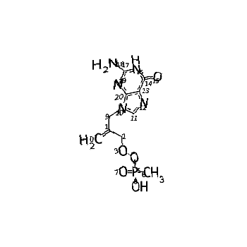 C=C(COOP(C)(=O)O)Cn1cnc2c(=O)[nH]c(N)nc21